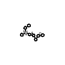 c1ccc(-c2cccc(-c3nc(-c4ccccc4)nc(-c4ccc5c(c4)sc4ccc(-c6ccccc6-c6ccc7oc8ccccc8c7c6)cc45)n3)c2)cc1